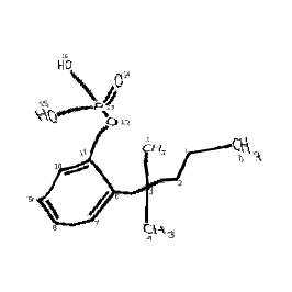 CCCC(C)(C)c1ccccc1OP(=O)(O)O